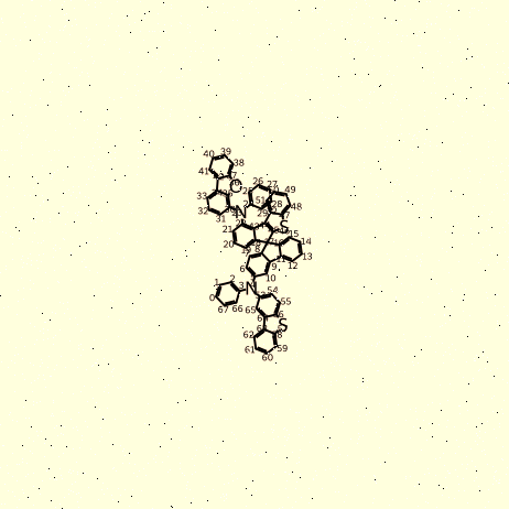 c1ccc(N(c2ccc3c(c2)-c2ccccc2C32c3cccc(N(c4ccccc4)c4cccc5c4oc4ccccc45)c3-c3c2sc2ccccc32)c2ccc3sc4ccccc4c3c2)cc1